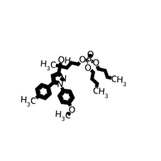 CCCCOP(=O)(OCCCC)OCCCC(C)(O)c1cc(-c2ccc(C)cc2)n(-c2ccc(OC)cc2)n1